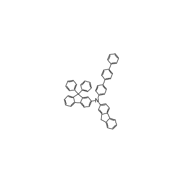 c1ccc(-c2ccc(-c3ccc(N(c4ccc5c(c4)Cc4ccccc4-5)c4ccc5c(c4)C(c4ccccc4)(c4ccccc4)c4ccccc4-5)cc3)cc2)cc1